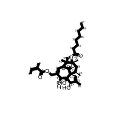 C/C=C(/C)C(=O)OCC1=CC2C(=O)[C@]3(C=C(C)[C@H](O)C3(O)C1O)[C@H](C)C[C@@](C)(OC(=O)CCCCCCC)C2(C)C